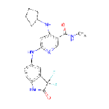 CNC(=O)c1cnc(Nc2ccc3c(c2)C(F)(F)C(=O)N3)cc1NC1CCCC1